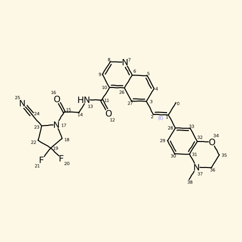 C/C(=C\c1ccc2nccc(C(=O)NCC(=O)N3CC(F)(F)CC3C#N)c2c1)c1ccc2c(c1)OCCN2C